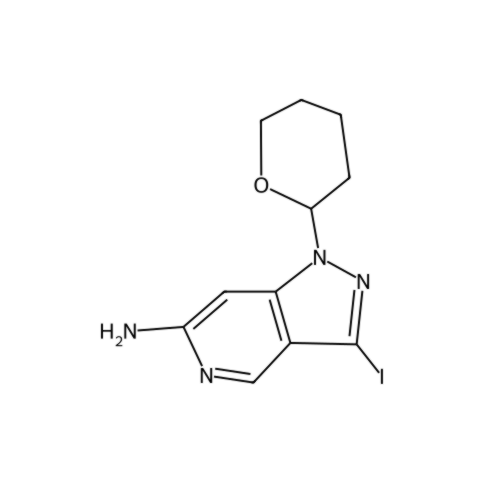 Nc1cc2c(cn1)c(I)nn2C1CCCCO1